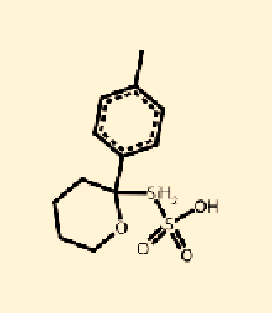 Cc1ccc(C2([SiH2]S(=O)(=O)O)CCCCO2)cc1